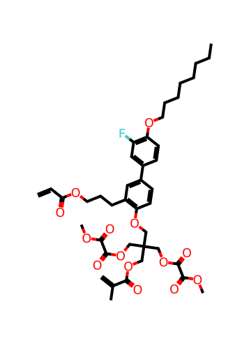 C=CC(=O)OCCCc1cc(-c2ccc(OCCCCCCCC)c(F)c2)ccc1OCC(COC(=O)C(=C)C)(COC(=O)C(=O)OC)COC(=O)C(=O)OC